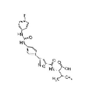 CC(C)[C@H](NC(=O)c1cc(-c2ccc(NC(=O)Nc3ccc(F)cc3)cc2)no1)C(=O)O